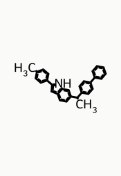 Cc1ccc(-c2cc3ccc(C(C)c4ccc(-c5ccccc5)cc4)cc3[nH]2)cc1